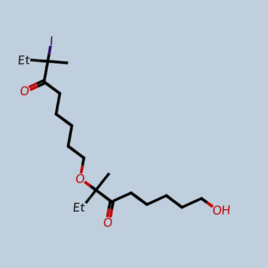 CCC(C)(I)C(=O)CCCCCOC(C)(CC)C(=O)CCCCCO